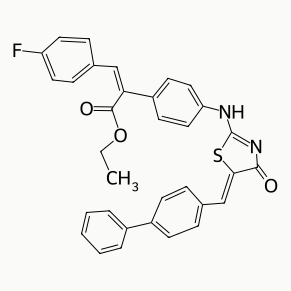 CCOC(=O)C(=Cc1ccc(F)cc1)c1ccc(NC2=NC(=O)C(=Cc3ccc(-c4ccccc4)cc3)S2)cc1